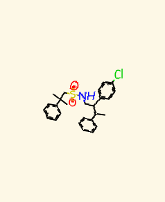 CC(c1ccccc1)C(CNS(=O)(=O)CC(C)(C)c1ccccc1)c1ccc(Cl)cc1